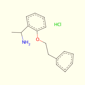 CC(N)c1ccccc1OCCc1ccccc1.Cl